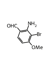 COc1ccc(C=O)c(N)c1Br